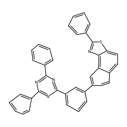 c1ccc(-c2nc(-c3ccccc3)nc(-c3cccc(-c4ccc5ccc6sc(-c7ccccc7)nc6c5c4)c3)n2)cc1